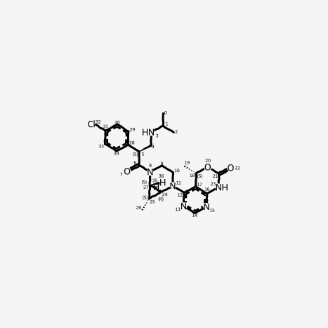 CC(C)NC[C@@H](C(=O)N1CCN(c2ncnc3c2[C@H](C)OC(=O)N3)[C@@H]2[C@H](C)[C@@H]21)c1ccc(Cl)cc1